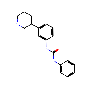 O=C(Nc1ccccc1)Nc1cccc(C2CCCNC2)c1